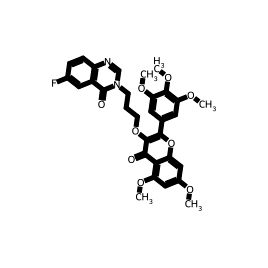 COc1cc(OC)c2c(=O)c(OCCCn3cnc4ccc(F)cc4c3=O)c(-c3cc(OC)c(OC)c(OC)c3)oc2c1